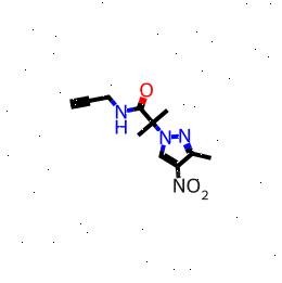 C#CCNC(=O)C(C)(C)n1cc([N+](=O)[O-])c(C)n1